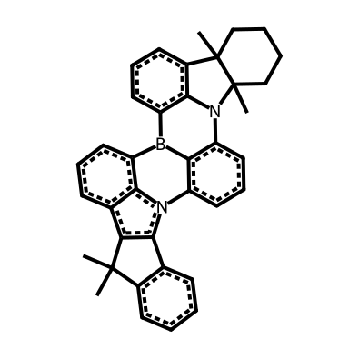 CC1(C)c2ccccc2-c2c1c1cccc3c1n2-c1cccc2c1B3c1cccc3c1N2C1(C)CCCCC31C